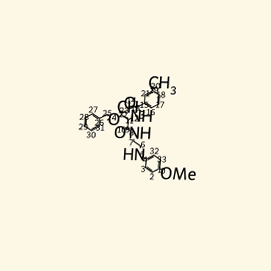 COc1ccc(NCCNC(=O)C(NC(=O)c2cccc(C)c2)C(C)OCc2ccccc2)cc1